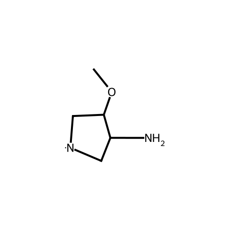 COC1C[N]CC1N